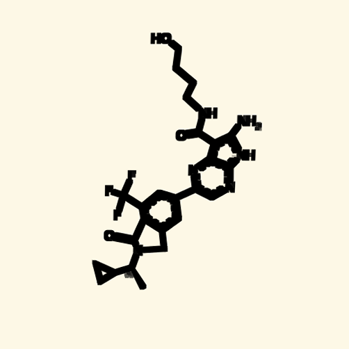 C[C@@H](C1CC1)N1Cc2cc(-c3cnc4[nH]c(N)c(C(=O)NCCCCO)c4n3)cc(C(F)(F)F)c2C1=O